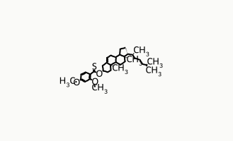 COc1ccc(C(=S)OC2CC[C@@]3(C)C(=CCC4C3CC[C@@]3(C)C4CC[C@@H]3[C@H](C)CCCC(C)C)C2)c(OC)c1